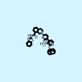 Cc1c(-c2ccc(N3CCc4cccc(C(=O)Nc5nc6ccccc6s5)c4C3)nc2C(=O)O)ccnc1SC12CC3CC(CC(C3)C1)C2